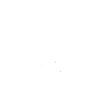 COC(=O)CC1=CBC(NC=O)=N1